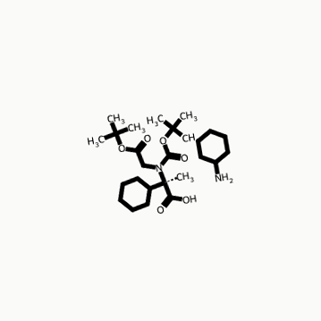 CC(C)(C)OC(=O)CN(C(=O)OC(C)(C)C)[C@@](C)(C(=O)O)C1CCCCC1.NC1CCCCC1